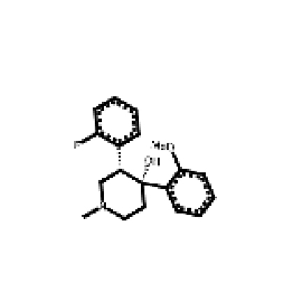 COc1ccccc1[C@@]1(O)CCN(C)C[C@@H]1c1ccccc1F